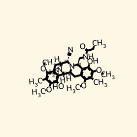 CCC(=O)NC[C@H]1c2c(O)c(OC)c(C)c(OC)c2C[C@H]2[C@@H]3c4c(O)c(OC)c(C)c(OC)c4C[C@H]([C@H](C#N)N12)N3C